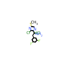 CSc1cnc([C@@H](N)Cc2cc(F)cc(F)c2)c(Cl)n1.Cl